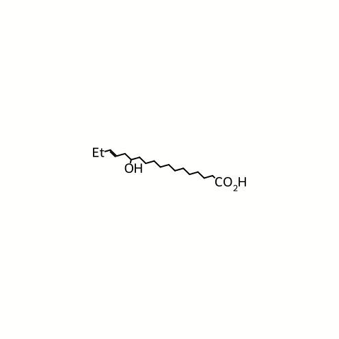 CCC=CCC(O)CCCCCCCCCCCC(=O)O